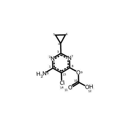 Nc1nc(C2CC2)nc(OC(=O)O)c1Cl